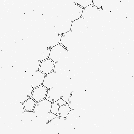 CC(C)[C@@H](N)C(=O)OCCNC(=S)Nc1ccc(-c2nc(N3C[C@H]4CC[C@@H](C3)O4)c3cccn3n2)cc1